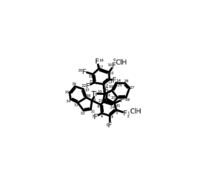 Cl.Cl.Fc1c(F)c(F)c([C]2([Ti][C]3(c4c(F)c(F)c(F)c(F)c4F)C=Cc4ccccc43)C=Cc3ccccc32)c(F)c1F